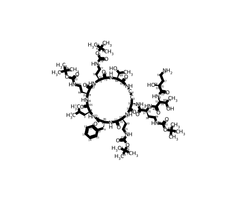 CC(C)C[C@@H]1NC(=O)[C@@H](Cc2ccccc2)NC(=O)[C@H](CCNC(=O)OC(C)(C)C)NC(=O)[C@@H](NC(=O)[C@H](CCNC(=O)OC(C)(C)C)NC(=O)[C@@H](NC(=O)[C@@H](O)CCN)C(C)O)CCNC(=O)[C@H](C(C)O)NC(=O)[C@H](CCNC(=O)OC(C)(C)C)NC(=O)[C@H](CCNC(=O)OC(C)(C)C)NC1=O